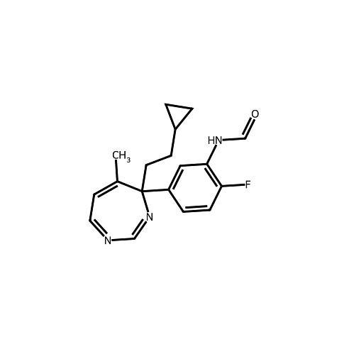 CC1=CC=NC=NC1(CCC1CC1)c1ccc(F)c(NC=O)c1